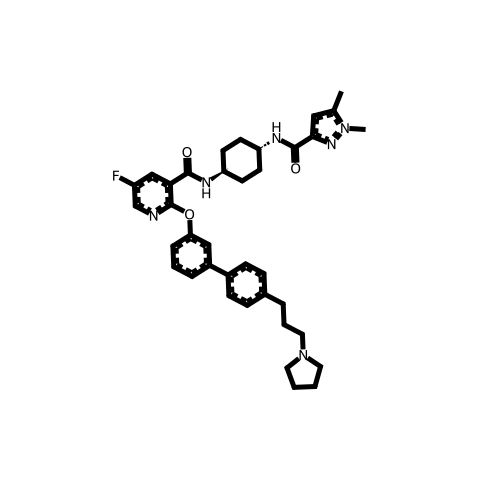 Cc1cc(C(=O)N[C@H]2CC[C@H](NC(=O)c3cc(F)cnc3Oc3cccc(-c4ccc(CCCN5CCCC5)cc4)c3)CC2)nn1C